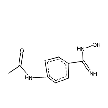 CC(=O)Nc1ccc(C(=N)NO)cc1